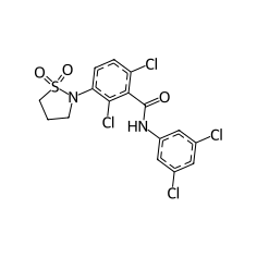 O=C(Nc1cc(Cl)cc(Cl)c1)c1c(Cl)ccc(N2CCCS2(=O)=O)c1Cl